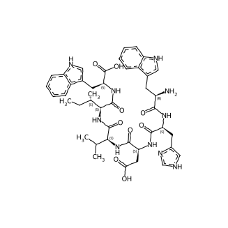 CC[C@H](C)[C@H](NC(=O)[C@@H](NC(=O)[C@H](CC(=O)O)NC(=O)[C@H](Cc1c[nH]cn1)NC(=O)[C@H](N)Cc1c[nH]c2ccccc12)C(C)C)C(=O)N[C@@H](Cc1c[nH]c2ccccc12)C(=O)O